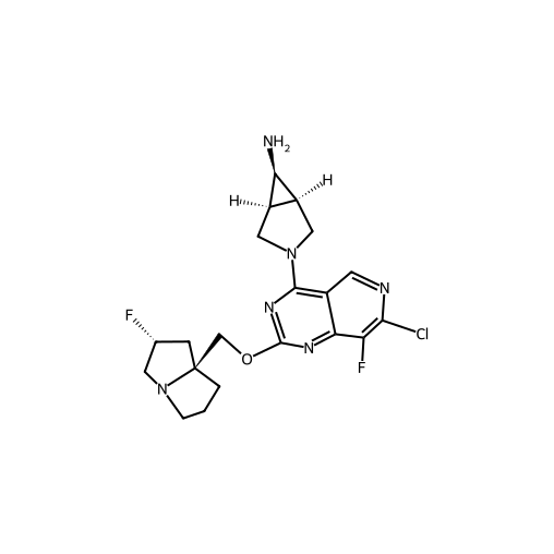 N[C@H]1[C@H]2CN(c3nc(OC[C@@]45CCCN4C[C@H](F)C5)nc4c(F)c(Cl)ncc34)C[C@@H]12